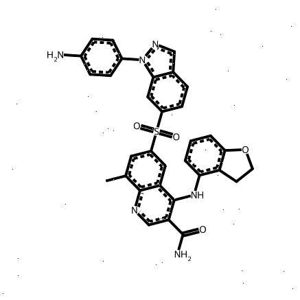 Cc1cc(S(=O)(=O)c2ccc3cnn(-c4ccc(N)cc4)c3c2)cc2c(Nc3cccc4c3CCO4)c(C(N)=O)cnc12